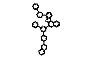 c1ccc(-c2cccc(-c3cccc4c3oc3c(-c5nc(-c6ccccc6)nc(-c6ccc(-c7ccc8ccccc8c7)cc6)n5)cc5ccccc5c34)c2)cc1